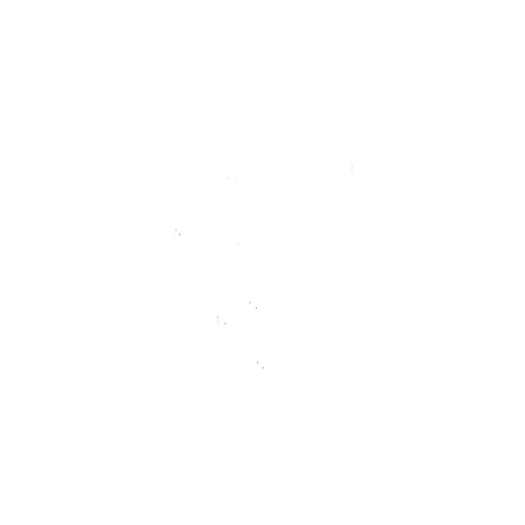 CC(C#N)C(O)(Cn1cncn1)c1ccc(F)cc1F